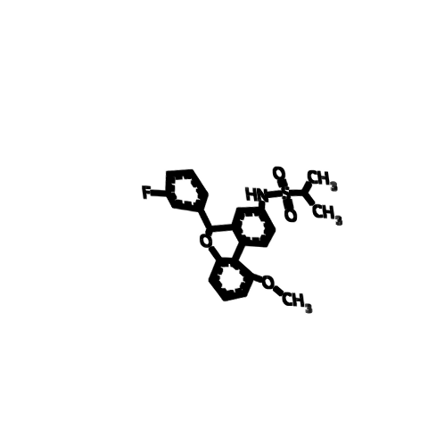 COc1cccc2c1-c1ccc(NS(=O)(=O)C(C)C)cc1C(c1cccc(F)c1)O2